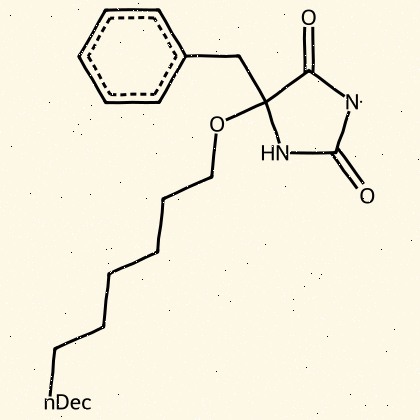 CCCCCCCCCCCCCCCCOC1(Cc2ccccc2)NC(=O)[N]C1=O